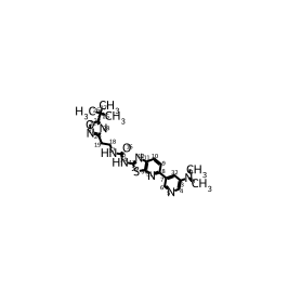 CN(C)c1cncc(-c2ccc3nc(NC(=O)NCCc4noc(C(C)(C)C)n4)sc3n2)c1